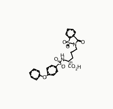 O=C(O)[C@@H](CCCN1C(=O)c2ccccc2S1(=O)=O)NS(=O)(=O)c1ccc(Oc2ccccc2)cc1